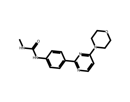 CNC(=O)Nc1ccc(-c2nccc(N3CCOCC3)n2)cc1